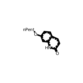 CCCCCOc1ccc2ccc(=O)[nH]c2c1